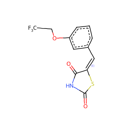 O=C1NC(=O)/C(=C\c2cccc(OCC(F)(F)F)c2)S1